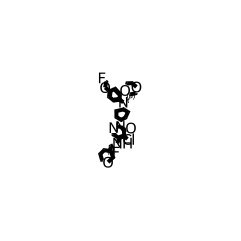 O=c1c(Cl)c(NC[C@@]2(F)CCCOC2)cnn1[C@H]1CC[C@@H](N(C[C@H]2COCCO2)c2ccc(OCF)cc2)CC1